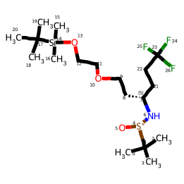 CC(C)(C)[S+]([O-])N[C@H](CCOCCO[Si](C)(C)C(C)(C)C)CCC(F)(F)F